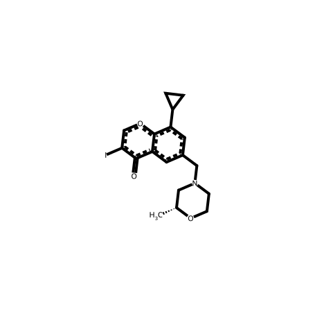 C[C@@H]1CN(Cc2cc(C3CC3)c3occ(I)c(=O)c3c2)CCO1